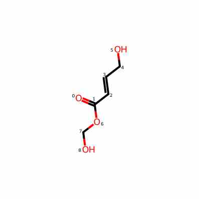 O=C(C=CCO)OCO